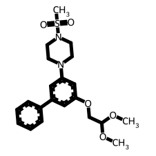 COC(COc1cc(-c2ccccc2)cc(N2CCN(S(C)(=O)=O)CC2)c1)OC